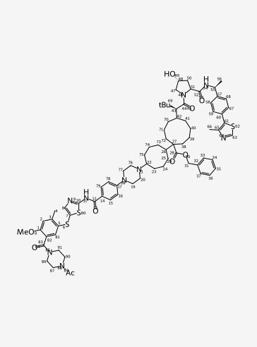 COc1cc(C)c(Sc2cnc(NC(=O)c3ccc(N4CCN(C5CCCC(C6(C(=O)OCc7ccccc7)CCCCC([C@H](C(=O)N7C[C@H](O)CC7C(=O)N[C@@H](C)c7ccc(-c8scnc8C)cc7)C(C)(C)C)CCC6)CCC5)CC4)cc3)s2)cc1C(=O)N1CCN(C(C)=O)CC1